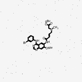 CCCCOC(=O)CN(C)C/C=C/C(=O)Nc1cc2c(Nc3cccc(Br)c3)ncnc2cc1OC